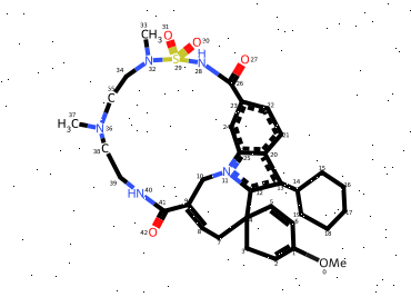 COC1=CCC2(C=C1)CC=C1Cn3c2c(C2CCCCC2)c2ccc(cc23)C(=O)NS(=O)(=O)N(C)CCN(C)CCNC1=O